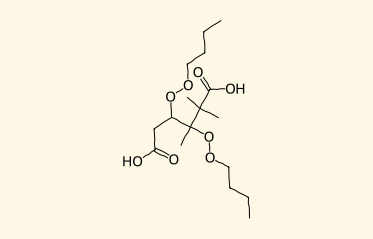 CCCCOOC(CC(=O)O)C(C)(OOCCCC)C(C)(C)C(=O)O